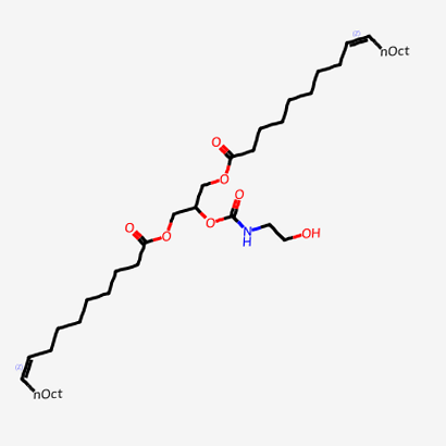 CCCCCCCC/C=C\CCCCCCCC(=O)OCC(COC(=O)CCCCCCC/C=C\CCCCCCCC)OC(=O)NCCO